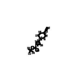 C#CC1CCN(C2CN(C(=O)OC(C)(C)C)C2)CC1